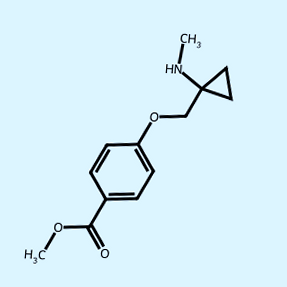 CNC1(COc2ccc(C(=O)OC)cc2)CC1